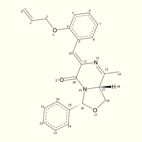 C=CCOc1ccccc1/C=C1\N=C(C)[C@@H]2CO[C@H](c3ccccc3)N2C1=O